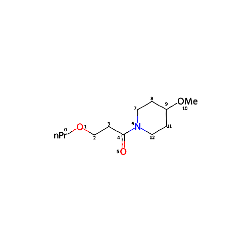 CCCOCCC(=O)N1CCC(OC)CC1